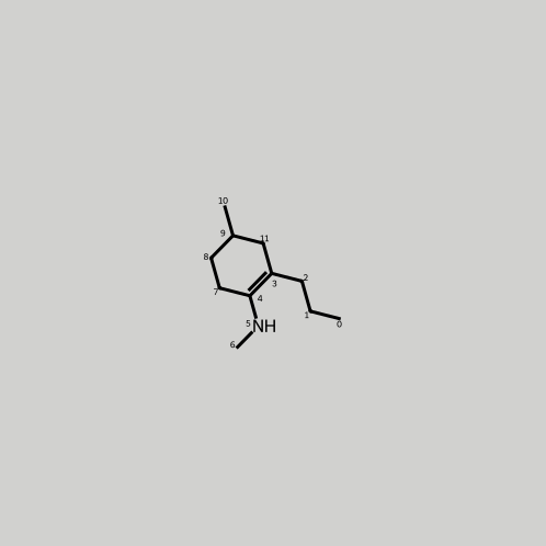 CCCC1=C(NC)CCC(C)C1